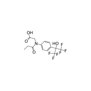 CCC(=O)N(CC(=O)O)c1ccc(C(O)(C(F)(F)F)C(F)(F)F)cc1